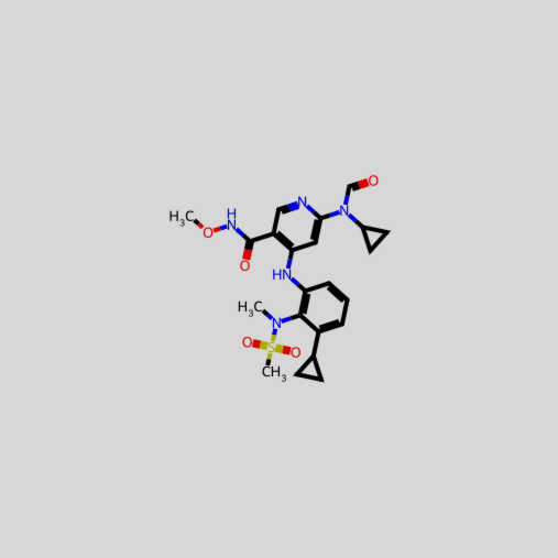 CONC(=O)c1cnc(N(C=O)C2CC2)cc1Nc1cccc(C2CC2)c1N(C)S(C)(=O)=O